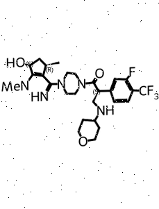 CNC1=C(C(=N)N2CCN(C(=O)[C@H](CNC3CCOCC3)c3ccc(C(F)(F)F)c(F)c3)CC2)[C@H](C)C[C@@H]1O